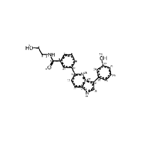 O=C(NCCO)c1cccc(-c2ccc3ncc(-c4cccc(O)c4)n3n2)c1